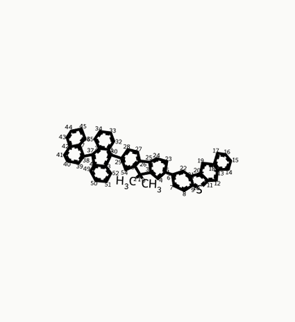 CC1(C)c2cc(-c3ccc4sc5cc6ccccc6cc5c4c3)ccc2-c2ccc(-c3c4ccccc4c(-c4cccc5ccccc45)c4ccccc34)cc21